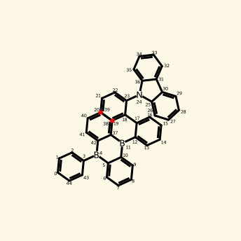 c1ccc(B2c3ccccc3B(c3ccccc3-c3ccccc3-n3c4ccccc4c4ccccc43)c3ccccc32)cc1